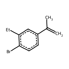 C=C(C)c1ccc(Br)c(CC)c1